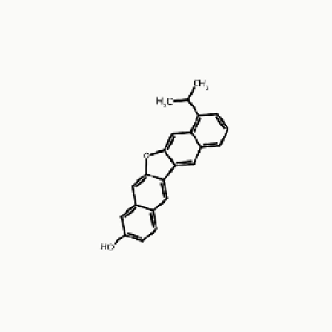 CC(C)c1cccc2cc3c(cc12)oc1cc2cc(O)ccc2cc13